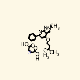 CC(C)CCOc1cc(-c2ccccc2)nc2nn(C)cc12.O=C(O)/C=C\C(=O)O